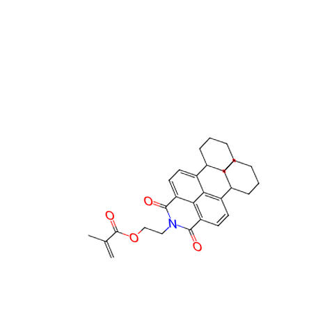 C=C(C)C(=O)OCCN1C(=O)c2ccc(C3CCCCC3)c3c(C4CCCCC4)ccc(c23)C1=O